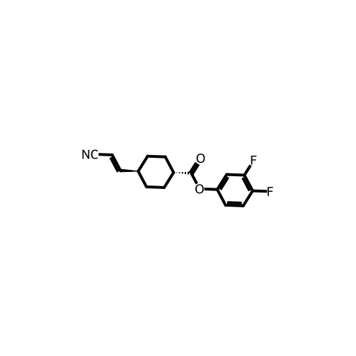 N#CC=C[C@H]1CC[C@H](C(=O)Oc2ccc(F)c(F)c2)CC1